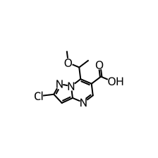 COC(C)c1c(C(=O)O)cnc2cc(Cl)nn12